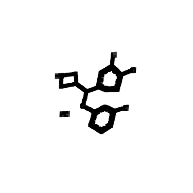 Cl.Clc1cccc(OC(c2ccc(Cl)c(Cl)c2)C2CNC2)c1